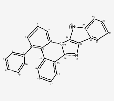 c1ccc(-c2cccc3c2c2ccccc2c2nc4c5ccccc5[nH]c4n32)cc1